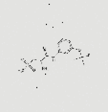 CS(=O)(=O)C[C@@H](N)C(=O)Nc1cccc(OC(F)(F)F)c1